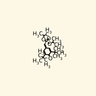 CC(C)OP(=O)(C=C1C=C(C(C)(C)C)C(=O)C(C(C)(C)C)=C1)OC(C)C